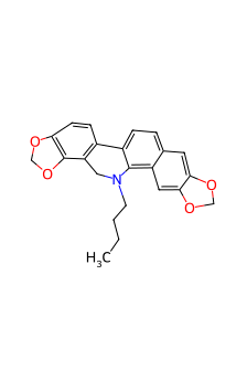 CCCCN1Cc2c(ccc3c2OCO3)-c2ccc3cc4c(cc3c21)OCO4